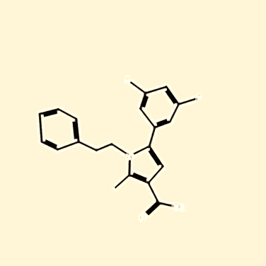 Cc1c(C(=O)O)cc(-c2cc(F)cc(F)c2)n1CCc1ccccc1